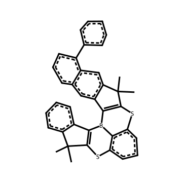 CC1(C)C2=C(B3C4=C(Sc5cccc(c53)S2)C(C)(C)c2cc3c(-c5ccccc5)cccc3cc24)c2ccccc21